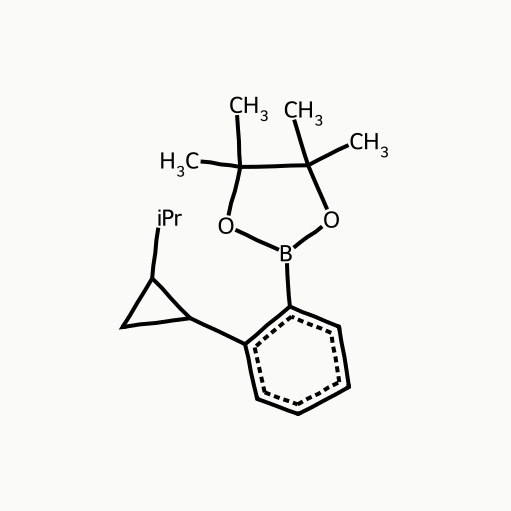 CC(C)C1CC1c1ccccc1B1OC(C)(C)C(C)(C)O1